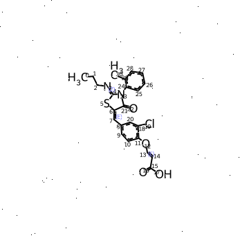 CCC/N=C1\S/C(=C/c2ccc(O/C=C/C(=O)O)c(Cl)c2)C(=O)N1c1ccccc1C